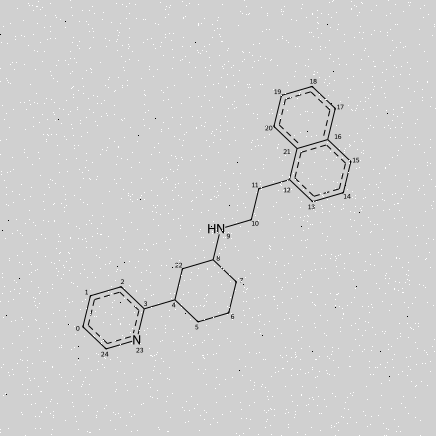 c1ccc(C2CCCC(NCCc3cccc4ccccc34)C2)nc1